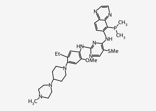 CCc1cc(Nc2ncc(SC)c(Nc3ccc4nccnc4c3P(C)C)n2)c(OC)cc1N1CCC(N2CCN(C)CC2)CC1